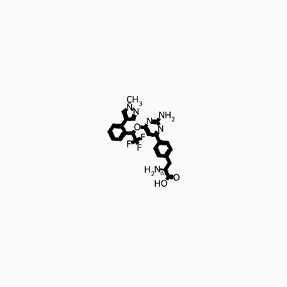 Cn1cc(-c2ccccc2C(Oc2cc(-c3ccc(C[C@H](N)C(=O)O)cc3)nc(N)n2)C(F)(F)F)cn1